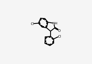 O=C1Nc2ccc(Cl)cc2C1c1ccccc1Cl